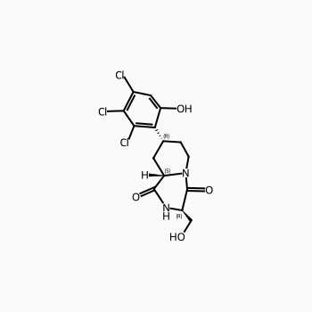 O=C1N[C@H](CO)C(=O)N2CC[C@@H](c3c(O)cc(Cl)c(Cl)c3Cl)C[C@@H]12